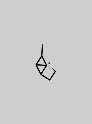 IC1C2C3CC[C@]132